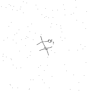 CC(C)(C(F)(F)F)[Si](C)(C)C